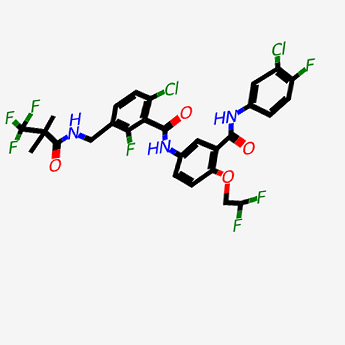 CC(C)(C(=O)NCc1ccc(Cl)c(C(=O)Nc2ccc(OCC(F)F)c(C(=O)Nc3ccc(F)c(Cl)c3)c2)c1F)C(F)(F)F